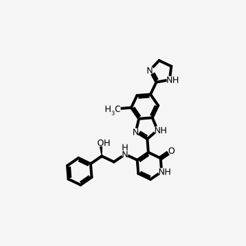 Cc1cc(C2=NCCN2)cc2[nH]c(-c3c(NC[C@H](O)c4ccccc4)cc[nH]c3=O)nc12